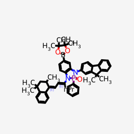 CCC/C(=C\C=C1\c2ccccc2C(C)(C)CC1C)N1c2ccc(B3OC(C)(C)C(C)(C)O3)cc2N(c2ccc3c(c2)C(C)(C)c2ccccc2-3)P1(=O)c1ccccc1